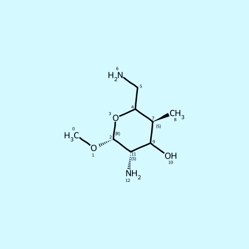 CO[C@@H]1OC(CN)[C@@H](C)C(O)[C@@H]1N